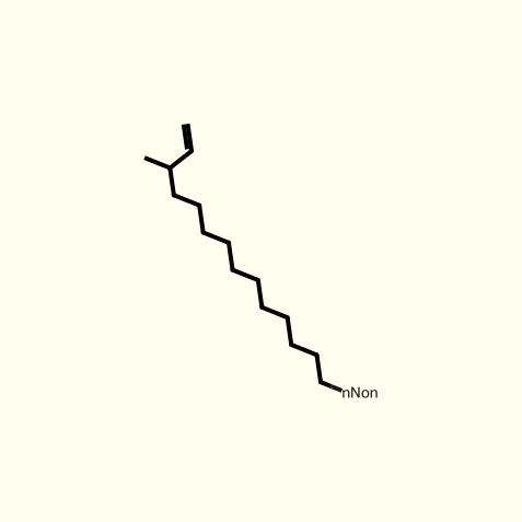 C=CC(C)CCCCCCCCCCCCCCCCCCCC